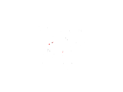 O=C(c1ccccc1Br)N1c2ccc(-c3ccccc3)cc2C2(c3cc(-c4ccccc4)ccc31)c1ccccc1-n1c3ccccc3c3cccc2c31